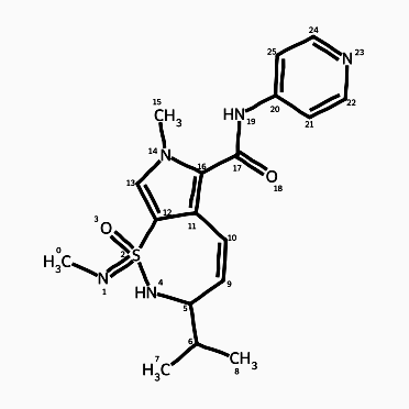 CN=S1(=O)NC(C(C)C)C=Cc2c1cn(C)c2C(=O)Nc1ccncc1